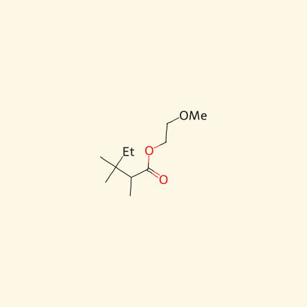 CCC(C)(C)C(C)C(=O)OCCOC